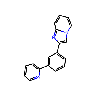 c1ccc(-c2cccc(-c3cn4ccccc4n3)c2)nc1